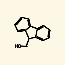 O[CH]C1c2ccccc2-c2ccccc21